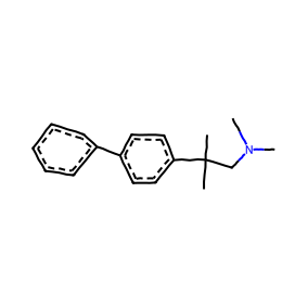 CN(C)CC(C)(C)c1ccc(-c2ccccc2)cc1